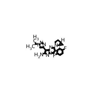 CC(C)n1cc(-c2c(N)nn3ccc(N4CC[C@H]5C[C@]54c4cc(F)ccc4F)nc23)nn1